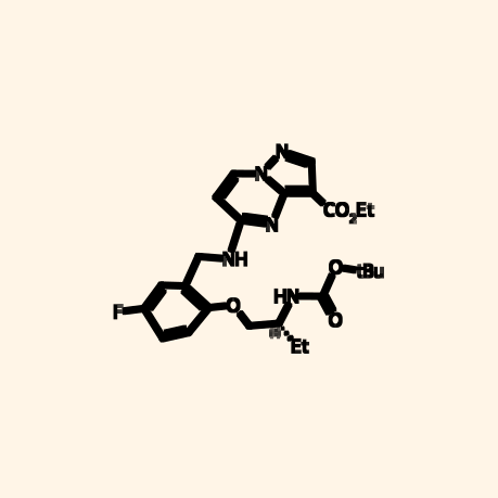 CCOC(=O)c1cnn2ccc(NCc3cc(F)ccc3OC[C@@H](CC)NC(=O)OC(C)(C)C)nc12